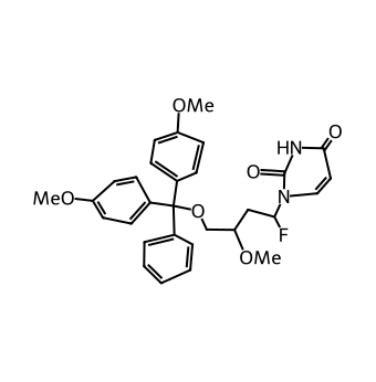 COc1ccc(C(OCC(CC(F)n2ccc(=O)[nH]c2=O)OC)(c2ccccc2)c2ccc(OC)cc2)cc1